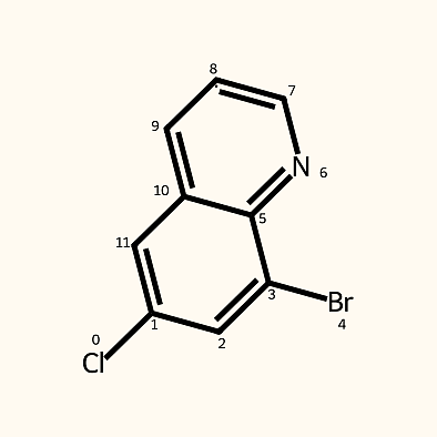 Clc1cc(Br)c2nc[c]cc2c1